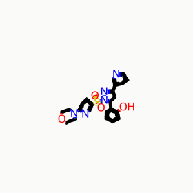 O=S(=O)(c1ccc(N2CCOCC2)nc1)N1N=C(c2cccnc2)CC1c1ccccc1O